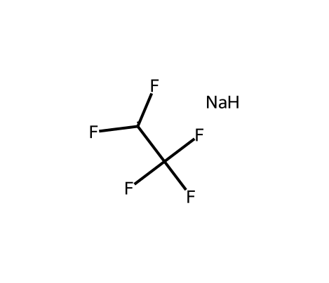 F[C](F)C(F)(F)F.[NaH]